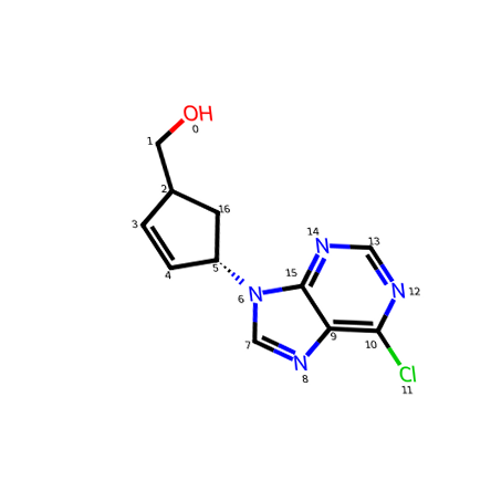 OCC1C=C[C@@H](n2cnc3c(Cl)ncnc32)C1